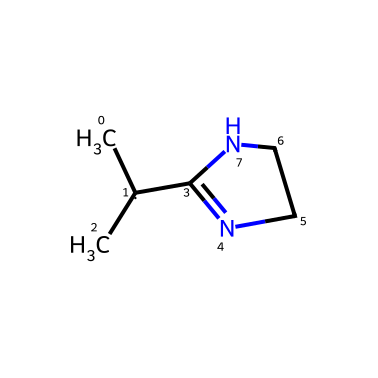 C[C](C)C1=NCCN1